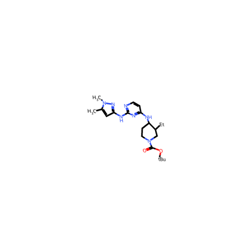 CCC1CN(C(=O)OC(C)(C)C)CCC1Nc1ccnc(Nc2cc(C)n(C)n2)n1